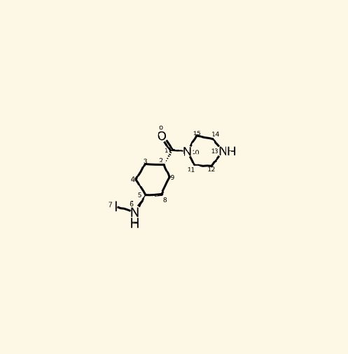 O=C([C@H]1CC[C@H](NI)CC1)N1CCNCC1